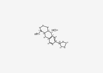 CCCN1CCCC2Cc3nc(N4CCCC4)ccc3CC21.Cl